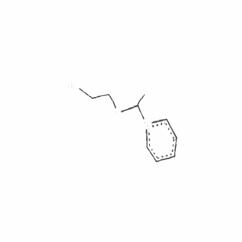 CC(OCCO)[n+]1ccccc1